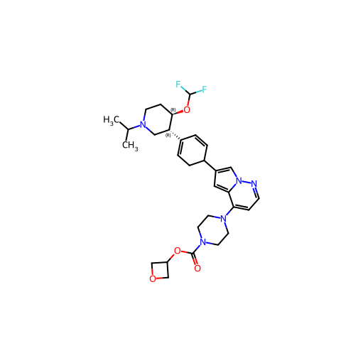 CC(C)N1CC[C@@H](OC(F)F)[C@H](C2=CCC(c3cc4c(N5CCN(C(=O)OC6COC6)CC5)ccnn4c3)C=C2)C1